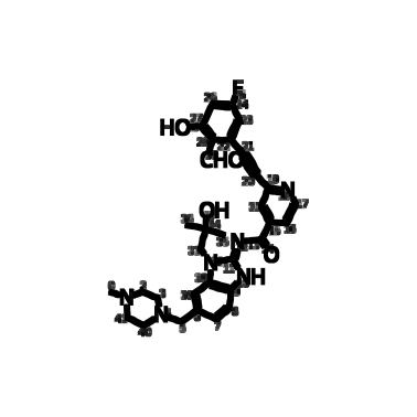 CN1CCN(Cc2ccc3[nH]/c(=N\C(=O)c4ccnc(C#Cc5cc(F)cc(O)c5C=O)c4)n(CC(C)(C)O)c3c2)CC1